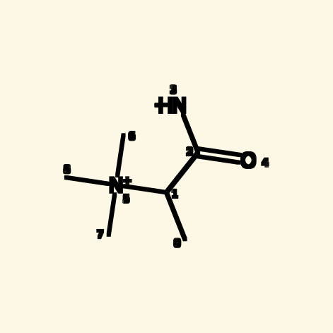 CC(C([NH])=O)[N+](C)(C)C